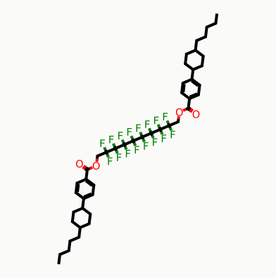 CCCCCC1CCC(c2ccc(C(=O)OCC(F)(F)C(F)(F)C(F)(F)C(F)(F)C(F)(F)C(F)(F)C(F)(F)C(F)(F)COC(=O)c3ccc(C4CCC(CCCCC)CC4)cc3)cc2)CC1